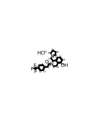 Cl.O=C(Cc1ccc(C(F)(F)F)cc1)N1CCc2c(O)cccc2C1CN1CCCC1